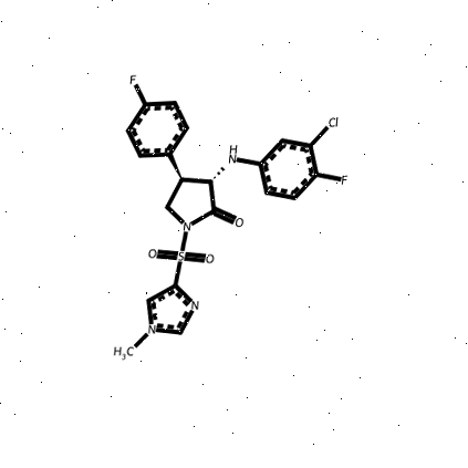 Cn1cnc(S(=O)(=O)N2C[C@@H](c3ccc(F)cc3)[C@H](Nc3ccc(F)c(Cl)c3)C2=O)c1